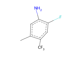 Cc1cc(N)c(F)cc1C(F)(F)F